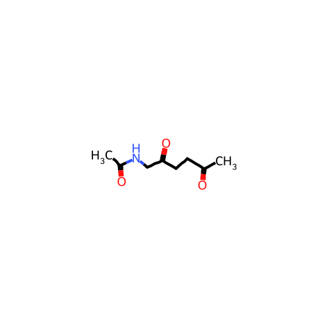 CC(=O)CCC(=O)CNC(C)=O